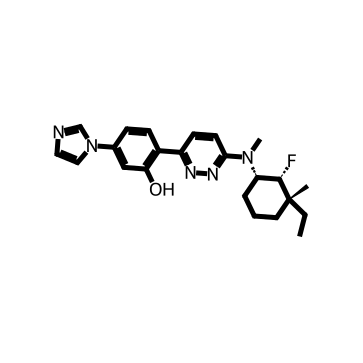 CC[C@]1(C)CCC[C@H](N(C)c2ccc(-c3ccc(-n4ccnc4)cc3O)nn2)[C@@H]1F